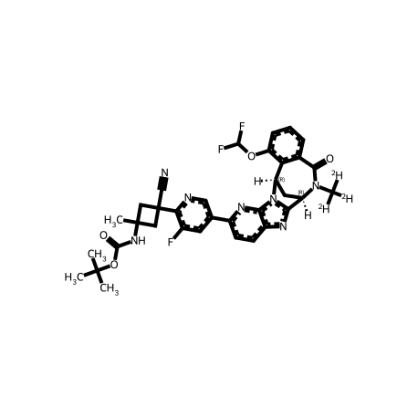 [2H]C([2H])([2H])N1C(=O)c2cccc(OC(F)F)c2[C@H]2C[C@@H]1c1nc3ccc(-c4cnc(C5(C#N)CC(C)(NC(=O)OC(C)(C)C)C5)c(F)c4)nc3n12